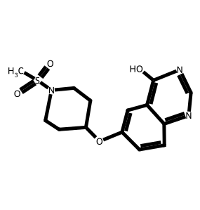 CS(=O)(=O)N1CCC(Oc2ccc3ncnc(O)c3c2)CC1